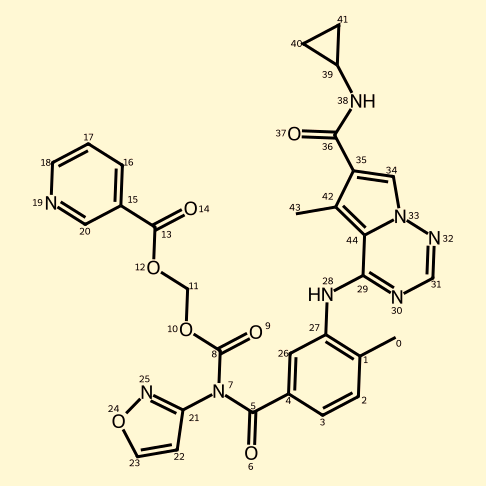 Cc1ccc(C(=O)N(C(=O)OCOC(=O)c2cccnc2)c2ccon2)cc1Nc1ncnn2cc(C(=O)NC3CC3)c(C)c12